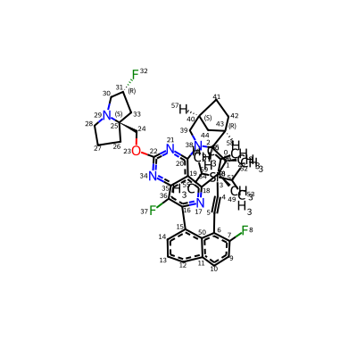 CC(C)[Si](C#Cc1c(F)ccc2cccc(-c3nc4c5c(nc(OC[C@@]67CCCN6C[C@H](F)C7)nc5c3F)N3C[C@H]5CC[C@H](C5)[C@@H]3[C@@H](C)[C@H]4C)c12)(C(C)C)C(C)C